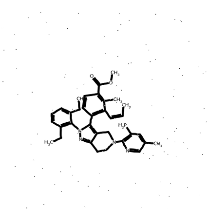 C/C=C\c1c(-c2c3c(nn2-c2c(CC)cccc2CC)CCN(c2ncc(C)cc2P)C3)ccc(C(=O)OC)c1C